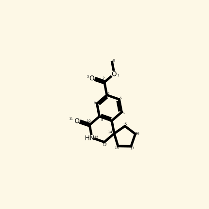 COC(=O)c1ccc2c(c1)C(=O)NCC21CCCC1